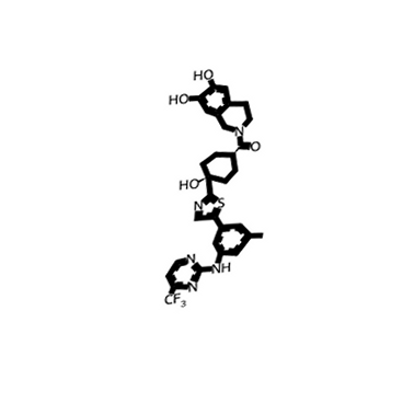 Cc1cc(Nc2nccc(C(F)(F)F)n2)cc(-c2cnc([C@]3(O)CC[C@@H](C(=O)N4CCc5cc(O)c(O)cc5C4)CC3)s2)c1